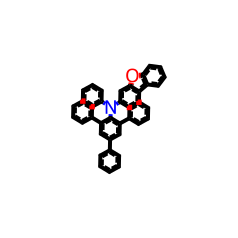 c1ccc(-c2cc(-c3ccccc3)c(N(c3ccccc3)c3ccc4c(c3)oc3ccccc34)c(-c3ccccc3)c2)cc1